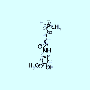 COc1cc(CNC(=O)/C=C/CCCCC(C)C)ccc1O